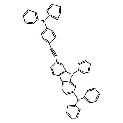 C(#Cc1ccc2c3ccc(N(c4ccccc4)c4ccccc4)cc3n(-c3ccccc3)c2c1)c1ccc(N(c2ccccc2)c2ccccc2)cc1